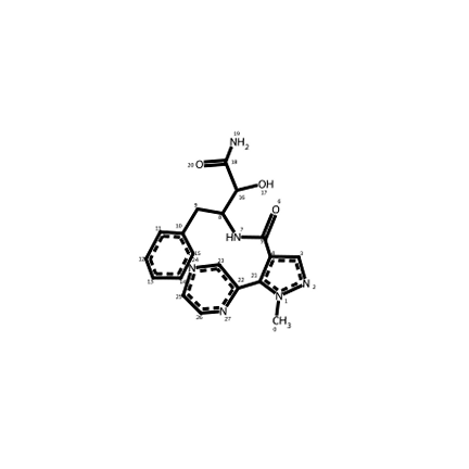 Cn1ncc(C(=O)NC(Cc2ccccc2)C(O)C(N)=O)c1-c1cnccn1